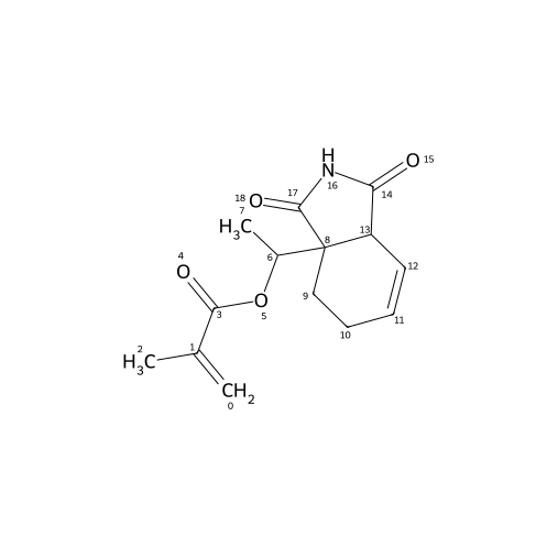 C=C(C)C(=O)OC(C)C12CCC=CC1C(=O)NC2=O